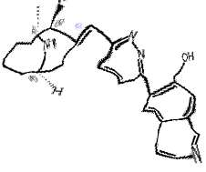 C[C@]12CCC[C@H](C/C(=C\c3ccc(-c4cc5ccncc5cc4O)nn3)[C@@H]1F)N2